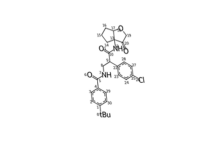 CC(C)(C)c1ccc(C(=O)NCC(C(=O)NC23CCCC2OCC3=O)c2ccc(Cl)cc2)cc1